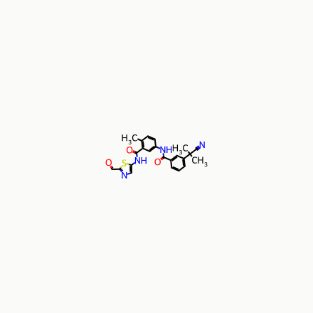 Cc1ccc(NC(=O)c2cccc(C(C)(C)C#N)c2)cc1C(=O)Nc1cnc(C=O)s1